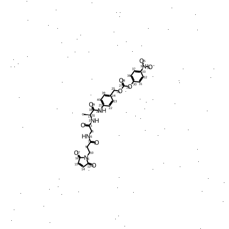 C[C@H](NC(=O)CNC(=O)CCN1C(=O)C=CC1=O)C(=O)Nc1ccc(COC(=O)Oc2ccc([N+](=O)[O-])cc2)cc1